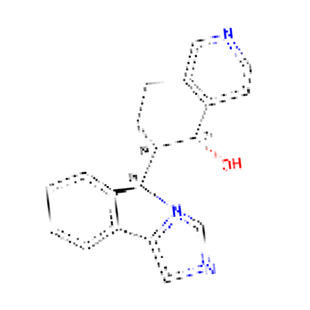 O[C@H]1c2ccncc2CC[C@H]1[C@@H]1c2ccccc2-c2cncn21